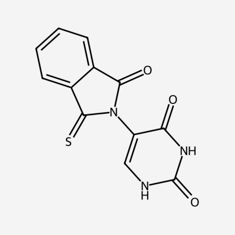 O=C1c2ccccc2C(=S)N1c1c[nH]c(=O)[nH]c1=O